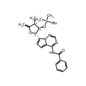 C=C1O[C@@H](c2ccc3c(NC(=O)c4ccccc4)ncnn23)[C@H](O[Si](C)(C)C(C)(C)C)[C@@H]1C